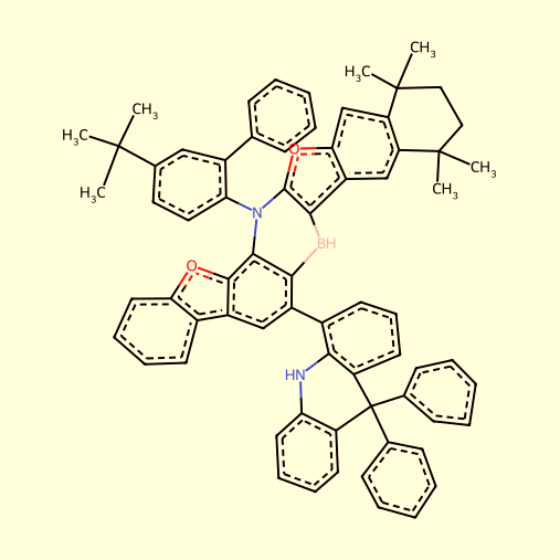 CC(C)(C)c1ccc(N2c3oc4cc5c(cc4c3Bc3c(-c4cccc6c4Nc4ccccc4C6(c4ccccc4)c4ccccc4)cc4c(oc6ccccc64)c32)C(C)(C)CCC5(C)C)c(-c2ccccc2)c1